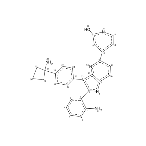 Nc1ncccc1-c1nc2ccc(-c3ccnc(O)c3)nc2n1-c1ccc(C2(N)CCC2)cc1